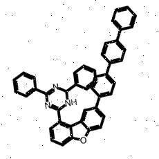 c1ccc(C2=NC(c3ccccc3)NC(c3cccc4oc5ccc(-c6ccc(-c7ccc(-c8ccccc8)cc7)cc6)cc5c34)=N2)cc1